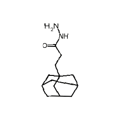 NNC(=O)CCC12CC3CC(CC(C3)C1)C2